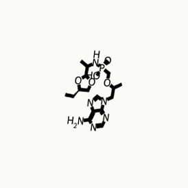 CC[C@@H]1COC(C(C)NP(=O)(O)COC(C)Cn2cnc3c(N)ncnc32)O1